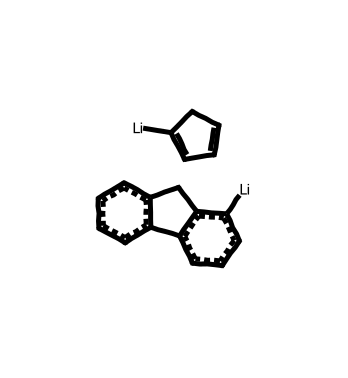 [Li][C]1=CC=CC1.[Li][c]1cccc2c1Cc1ccccc1-2